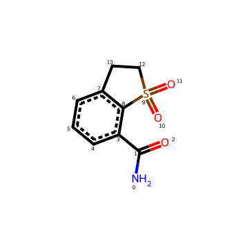 NC(=O)c1cccc2c1S(=O)(=O)CC2